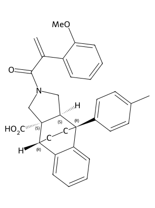 C=C(C(=O)N1C[C@H]2[C@@]3(c4ccc(C)cc4)CC[C@H](c4ccccc43)[C@@]2(C(=O)O)C1)c1ccccc1OC